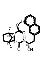 CC(C)(C)OC(=O)N1[C@@H]2CC[C@@H](C2)[C@H]1C(O)N[C@H](C#N)Cc1ccc2ccccc2c1